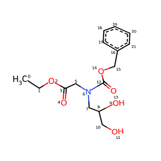 CCOC(=O)CN(CC(O)CO)C(=O)OCc1ccccc1